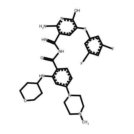 CN1CCN(c2ccc(C(=O)NC(=N)c3cc(Sc4cc(F)cc(F)c4)c(O)nc3N)c(NC3CCOCC3)c2)CC1